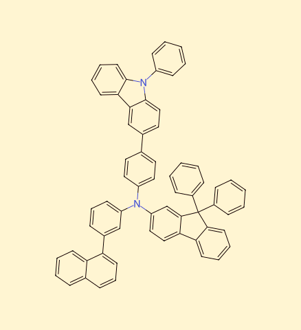 c1ccc(-n2c3ccccc3c3cc(-c4ccc(N(c5cccc(-c6cccc7ccccc67)c5)c5ccc6c(c5)C(c5ccccc5)(c5ccccc5)c5ccccc5-6)cc4)ccc32)cc1